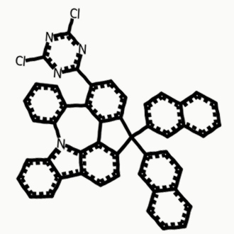 Clc1nc(Cl)nc(-c2ccc3c4c2-c2ccccc2-n2c5ccccc5c5ccc(c-4c52)C3(c2ccc3ccccc3c2)c2ccc3ccccc3c2)n1